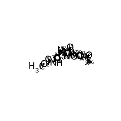 COCC(=O)Nc1ccc(-n2ncc3c(=O)n(CC4(O)CCN(C(=O)C5CC5)CC4)cnc32)cc1